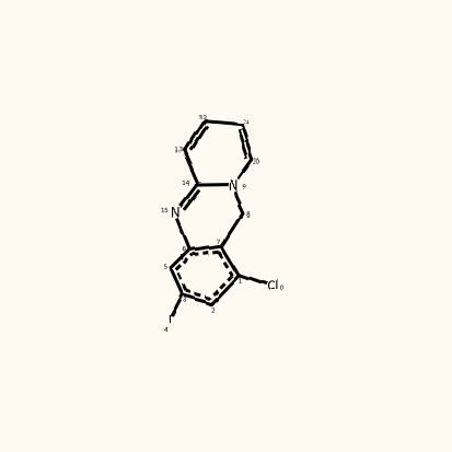 Clc1cc(I)cc2c1CN1C=CC=CC1=N2